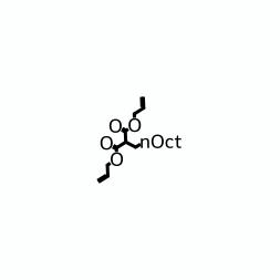 C=CCOC(=O)C(CCCCCCCCC)C(=O)OCC=C